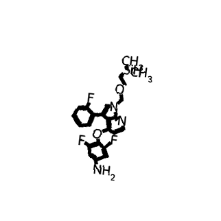 C[SiH](C)CCOCn1cc(-c2ccccc2F)c2c(Oc3c(F)cc(N)cc3F)ccnc21